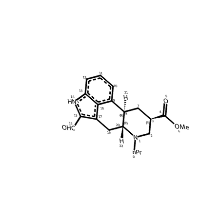 CCCN1C[C@H](C(=O)OC)C[C@@H]2c3cccc4[nH]c(C=O)c(c34)C[C@H]21